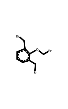 BrCOc1c(CBr)cccc1CBr